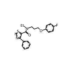 CCN(CCCOc1ccc(F)cc1)C(=O)c1snnc1-c1ccccc1